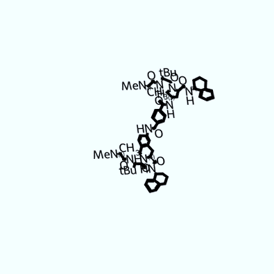 CN[C@@H](C)C(=O)NC(C(=O)N1C[C@@H](NC(=O)c2ccc(C(=O)Nc3ccc4c(c3)C[C@@H](C(=O)NC3CCCc5ccccc53)N(C(=O)C(NC(=O)[C@H](C)NC)C(C)(C)C)C4)cc2)CC1C(=O)N[C@@H]1CCCc2ccccc21)C(C)(C)C